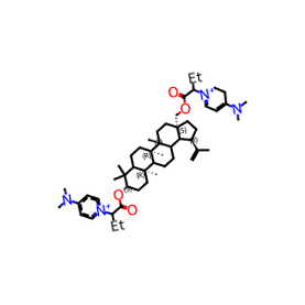 C=C(C)[C@@H]1CC[C@]2(COC(=O)C(CC)[N+]3=CC=C(N(C)C)CC3)CC[C@]3(C)C(CCC4[C@@]5(C)CC[C@H](OC(=O)C(CC)[n+]6ccc(N(C)C)cc6)C(C)(C)C5CC[C@]43C)C12